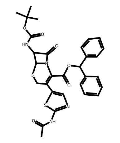 CC(=O)Nc1ncc(C2=C(C(=O)OC(c3ccccc3)c3ccccc3)N3C(=O)C(NC(=O)OC(C)(C)C)C3SC2)s1